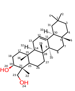 CC1(C)CC[C@]2(C)CC[C@]3(C)C(=CC[C@@H]4[C@@]5(C)CC[C@H](O)[C@@](C)(CO)C5CC[C@]43C)[C@H]2C1